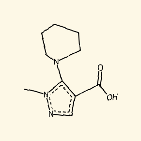 Cn1ncc(C(=O)O)c1N1CCCCC1